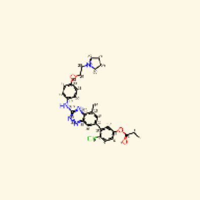 CCC(=O)Oc1ccc(Cl)c(-c2cc(C)c3nc(Nc4ccc(OCCN5CCCC5)cc4)nnc3c2)c1